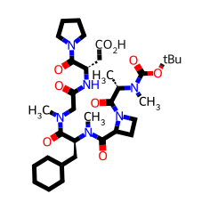 C[C@@H](C(=O)N1CCC1C(=O)N(C)[C@@H](CC1CCCCC1)C(=O)N(C)CC(=O)N[C@@H](CC(=O)O)C(=O)N1CCCC1)N(C)C(=O)OC(C)(C)C